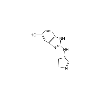 Oc1ccc2[nH]c(NN3C=NCC3)nc2c1